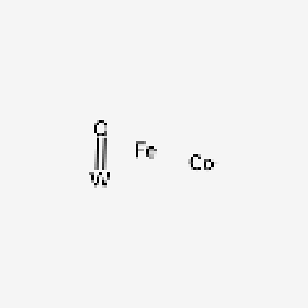 [Co].[Fe].[O]=[W]